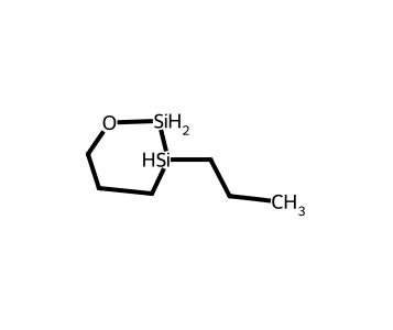 CCC[SiH]1CCCO[SiH2]1